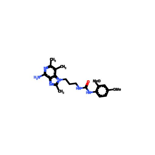 COc1ccc(NC(=O)NCCCn2c(C)nc3c(N)nc(C)c(C)c32)c(OC)c1